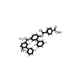 COC(=O)c1ccc(C(=O)Oc2ccc(C(C)c3ccc(C)c(-c4ccccc4)c3)cc2-c2ccccc2)cc1